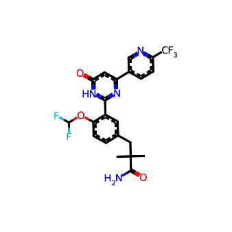 CC(C)(Cc1ccc(OC(F)F)c(-c2nc(-c3ccc(C(F)(F)F)nc3)cc(=O)[nH]2)c1)C(N)=O